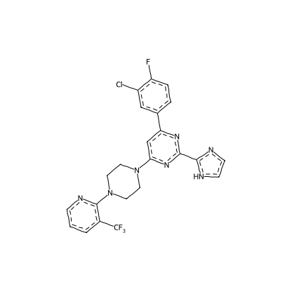 Fc1ccc(-c2cc(N3CCN(c4ncccc4C(F)(F)F)CC3)nc(-c3ncc[nH]3)n2)cc1Cl